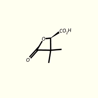 CC1(C)C(=O)O[C@H]1C(=O)O